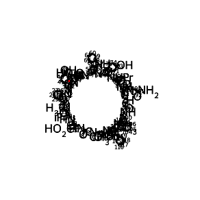 CCCC[C@H]1C(=O)N(C)CC(=O)N[C@@H](CC(=O)O)C(=O)N[C@@H](C(C)C)C(=O)N(C)[C@@H](Cc2ccccc2)C(=O)N[C@@H](Cc2ccc(O)cc2)C(=O)N2C[C@@H](O)C[C@@H]2C(=O)N[C@@H](Cc2c[nH]c3ccccc23)C(=O)N[C@@H](Cc2ccc(O)cc2)C(=O)N[C@@H](CC(C)C)C(=O)N[C@H](C(=O)NCC(N)=O)CSCC(=O)N[C@@H](Cc2ccccc2)C(=O)N(C)[C@@H](CCc2ccccc2)C(=O)N1C